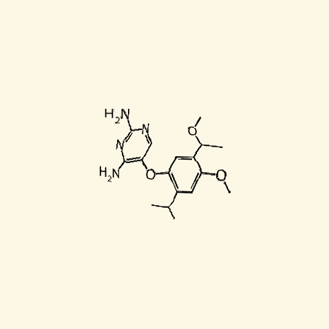 COc1cc(C(C)C)c(Oc2cnc(N)nc2N)cc1C(C)OC